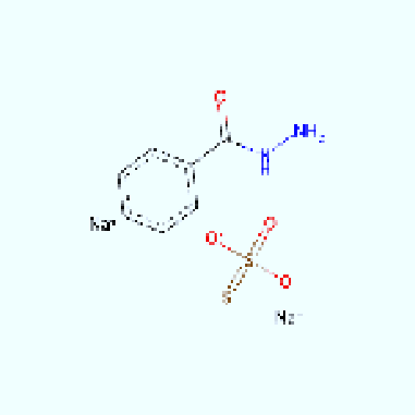 NNC(=O)c1ccccc1.O=S([O-])([O-])=S.[Na+].[Na+]